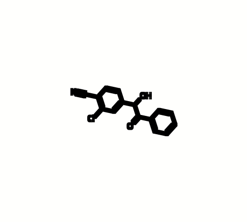 N#Cc1ccc(C(O)C(=O)c2ccccc2)cc1Cl